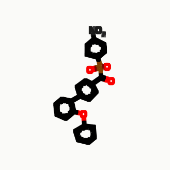 O=C(c1ccc(-c2ccccc2Oc2ccccc2)cc1)S(=O)(=O)c1ccc([N+](=O)[O-])cc1